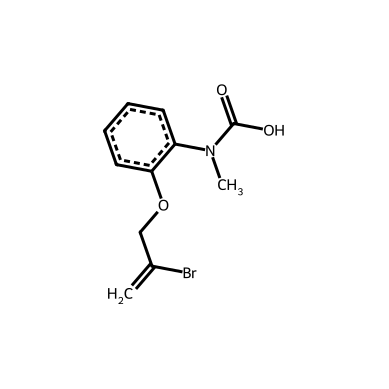 C=C(Br)COc1ccccc1N(C)C(=O)O